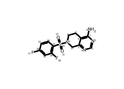 Nc1ncnc2c1CCN(S(=O)(=O)c1ccc(F)cc1F)C2